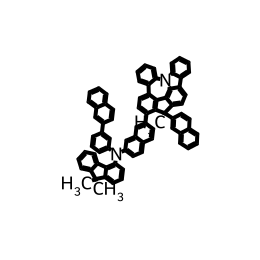 CC1(C)c2ccccc2-c2c(N(c3cccc(-c4ccc5ccccc5c4)c3)c3ccc4ccc(-c5ccc6c7c5C(C)(c5ccc8ccccc8c5)c5ccc8c9ccccc9n(c8c5-7)-c5ccccc5-6)cc4c3)cccc21